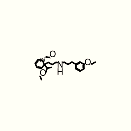 CCOC1=CC=C[C@H](CC=O)C1(CCCNCCCc1cccc(OCC)c1)C(C)C